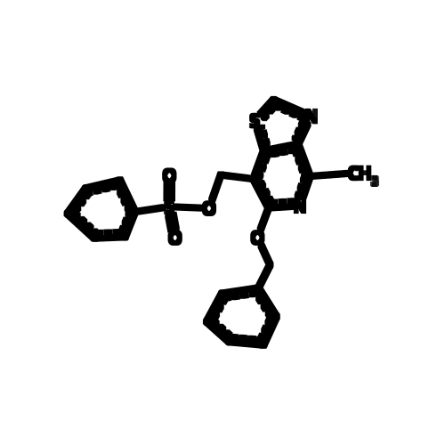 Cc1nc(OCc2ccccc2)c(COS(=O)(=O)c2ccccc2)c2scnc12